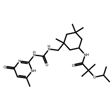 Cc1cc(=O)nc(NC(=O)NCC2(C)CC(NC(=O)C(C)(C)OC(C)C)CC(C)(C)C2)[nH]1